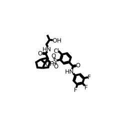 CC(O)CNC(=O)C[C@]1(O)C2CCC1C[C@@H](S(=O)(=O)c1cc(C(=O)Nc3cc(F)c(F)c(F)c3)ccc1Cl)C2